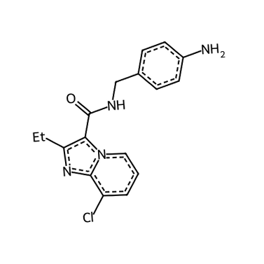 CCc1nc2c(Cl)cccn2c1C(=O)NCc1ccc(N)cc1